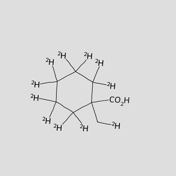 [2H]CC1(C(=O)O)C([2H])([2H])C([2H])([2H])C([2H])([2H])C([2H])([2H])C1([2H])[2H]